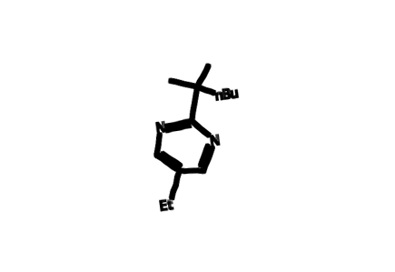 CCCCC(C)(C)c1ncc(CC)cn1